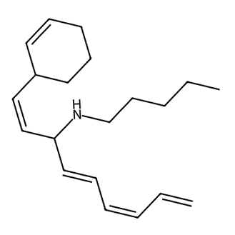 C=C/C=C\C=C\C(/C=C\C1C=CCCC1)NCCCCC